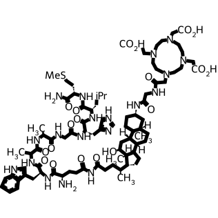 CSCC[C@H](NC(=O)[C@H](CC(C)C)NC(=O)[C@H](Cc1c[nH]cn1)NC(=O)CNC(=O)[C@H](C)NC(=O)C(C)NC(=O)[C@H](Cc1c[nH]c2ccccc12)NC(=O)[C@@H](N)CCC(=O)NC(=O)CC[C@@H](C)[C@H]1CC[C@H]2[C@@H]3CC[C@@H]4C[C@@H](NC(=O)CNC(=O)CN5CCN(CC(=O)O)CCN(CC(=O)O)CCN(CC(=O)O)CC5)CC[C@]4(C)[C@H]3C[C@H](O)[C@]12C)C(N)=O